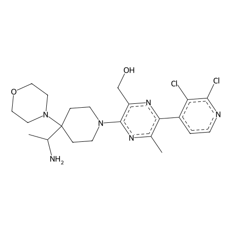 Cc1nc(N2CCC(C(C)N)(N3CCOCC3)CC2)c(CO)nc1-c1ccnc(Cl)c1Cl